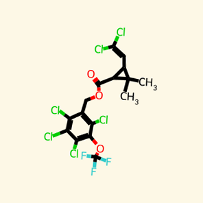 CC1(C)C(C=C(Cl)Cl)C1C(=O)OCc1c(Cl)c(Cl)c(Cl)c(OC(F)(F)F)c1Cl